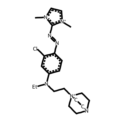 CCN(CC[N+]12CCN(CC1)CC2)c1ccc(/N=N/c2n(C)cc[n+]2C)c(Cl)c1